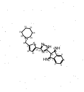 N=C1c2ccccc2C(=N)C1c1nc(-c2ccc(CN3CCCCCC3)s2)n[nH]1